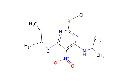 CCC(C)Nc1nc(SC)nc(NC(C)C)c1[N+](=O)[O-]